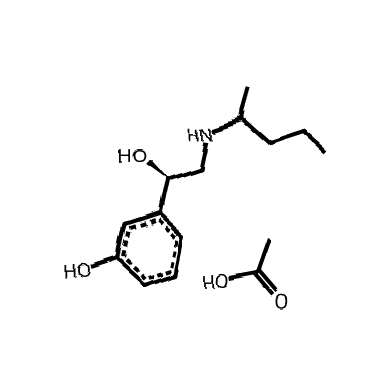 CC(=O)O.CCCC(C)NC[C@H](O)c1cccc(O)c1